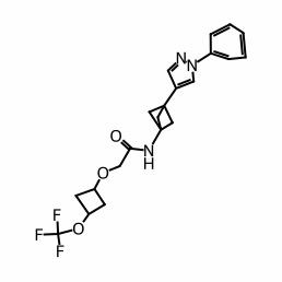 O=C(COC1CC(OC(F)(F)F)C1)NC12CC(c3cnn(-c4ccccc4)c3)(C1)C2